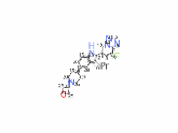 CC(C)c1c(-c2cc(F)c3ncnn3c2)[nH]c2ccc(C3CCN(C4COC4)CC3)cc12